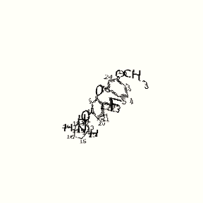 COc1cccc(Oc2cc(O[C@@H]3C[C@H]4CC[C@@H](C3)N4)ccc2F)c1